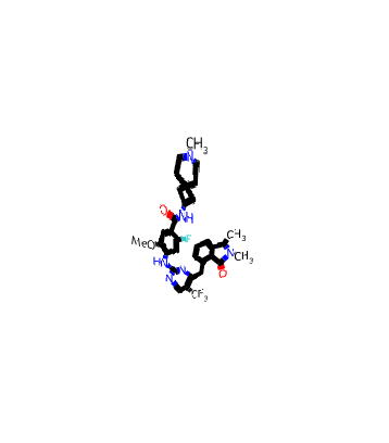 COc1cc(C(=O)NC2CC3(CCN(C)CC3)C2)c(F)cc1Nc1ncc(C(F)(F)F)c(Cc2cccc3c2C(=O)N(C)C3C)n1